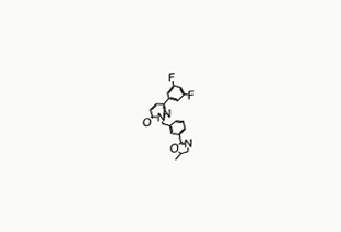 CC1CN=C(c2cccc(Cn3nc(-c4cc(F)cc(F)c4)ccc3=O)c2)O1